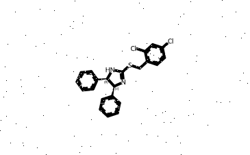 Clc1ccc(CSC2=N[C@@H](c3ccccc3)[C@@H](c3ccccc3)N2)c(Cl)c1